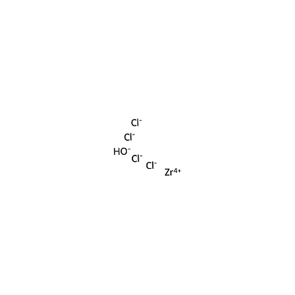 [Cl-].[Cl-].[Cl-].[Cl-].[OH-].[Zr+4]